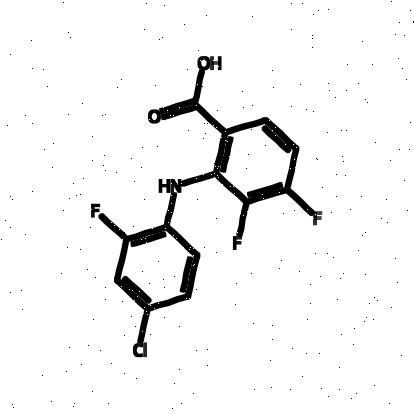 O=C(O)c1ccc(F)c(F)c1Nc1ccc(Cl)cc1F